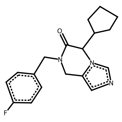 O=C1C(C2CCCC2)n2cncc2CN1Cc1ccc(F)cc1